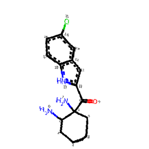 NC1CCCCC1(N)C(=O)c1cc2cc(Cl)ccc2[nH]1